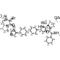 COC[C@@H]1CN(C(=O)[C@H](N)c2ccccc2)[C@](c2ncc(-c3ccc(-c4ccc(-c5cnc([C@@H]6CCCN6C(=O)[C@H](C(C)C)N(C)C(=O)O)[nH]5)cc4)cc3)[nH]2)(C(C)(C)C)C1